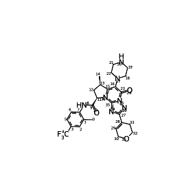 Cc1cc(C(F)(F)F)ccc1NC(=O)[C@H]1C[C@@H](C)c2c(N3CCNCC3)c(=O)n3nc(C4=CCOCC4)nc3n21